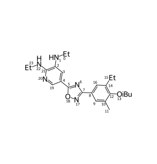 CCNc1cc(-c2nc(-c3cc(C)c(OCC(C)C)c(CC)c3)no2)cnc1NCC